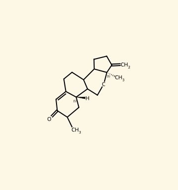 C=C1CCC2C3CCC4=CC(=O)C(C)C[C@H]4C3CC[C@]12C